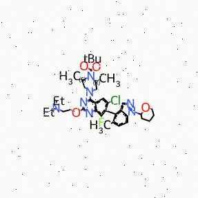 CCN(CC)CCOc1nc(N2C[C@@H](C)N(C(=O)OC(C)(C)C)[C@@H](C)C2)c2cc(Cl)c(-c3c(C)ccc4c3cnn4C3CCCCO3)c(F)c2n1